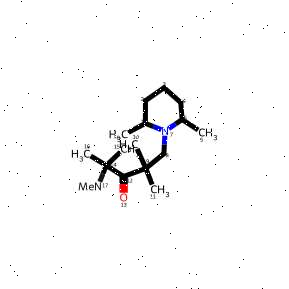 CC1CCCC(C)N1CC(C)(C)C(=O)C(C)(C)N[13CH3]